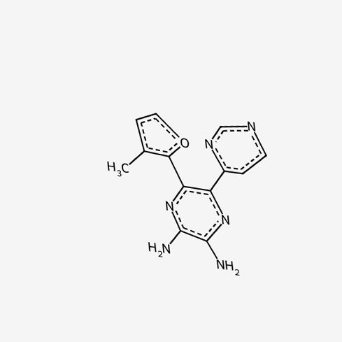 Cc1ccoc1-c1nc(N)c(N)nc1-c1ccncn1